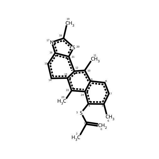 C=C(C)Sc1c(C)ccc2c(C)c3c(ccc4nc(C)sc43)c(C)c12